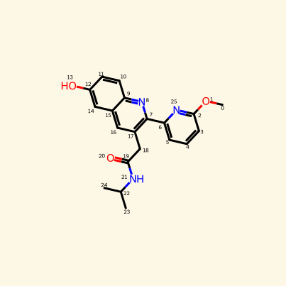 COc1cccc(-c2nc3ccc(O)cc3cc2CC(=O)NC(C)C)n1